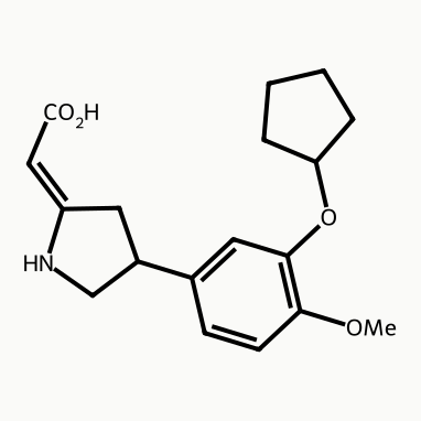 COc1ccc(C2CNC(=CC(=O)O)C2)cc1OC1CCCC1